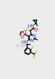 B[C@](C)(Nc1nc(C)nc(C(F)C(=O)NC2(C)CC2)c1C1OCCO1)c1cccc(C(F)F)c1F